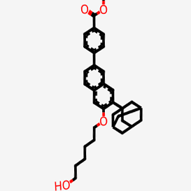 COC(=O)c1ccc(-c2ccc3cc(OCCCCCCO)c(C45CC6CC(CC(C6)C4)C5)cc3c2)cc1